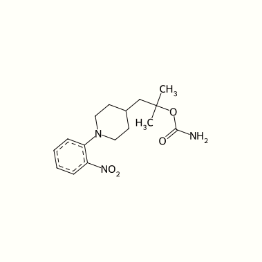 CC(C)(CC1CCN(c2ccccc2[N+](=O)[O-])CC1)OC(N)=O